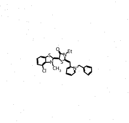 CCn1c(=O)/c(=C2\Sc3cccc(Cl)c3N2C)s/c1=C\c1cccc[n+]1Cc1ccccc1